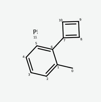 Cc1ccccc1C1=CC=C1.[P]